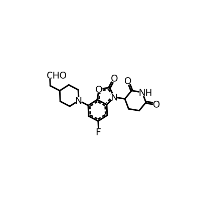 O=CCC1CCN(c2cc(F)cc3c2oc(=O)n3C2CCC(=O)NC2=O)CC1